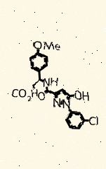 COc1ccc([C@H](CC(=O)O)NC(=O)c2cc(O)n(-c3cccc(Cl)c3)n2)cc1